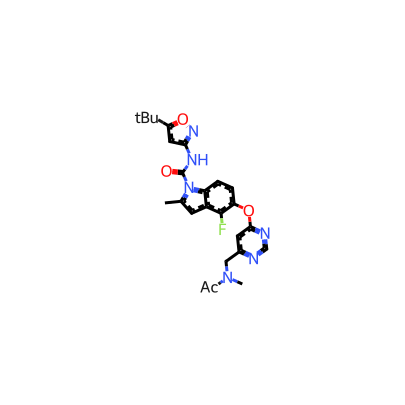 CC(=O)N(C)Cc1cc(Oc2ccc3c(cc(C)n3C(=O)Nc3cc(C(C)(C)C)on3)c2F)ncn1